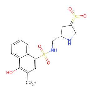 O=C(O)c1cc(S(=O)(=O)NC[C@@H]2CC(=S(=O)=O)CN2)c2ccccc2c1O